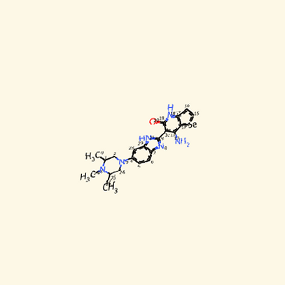 CC1CN(c2ccc3nc(-c4c(N)c5[se]ccc5[nH]c4=O)[nH]c3c2)CC(C)N1C